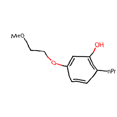 [CH2]CCc1ccc(OCCOC)cc1O